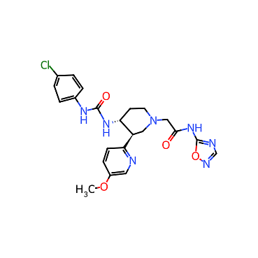 COc1ccc([C@@H]2CN(CC(=O)Nc3ncno3)CC[C@H]2NC(=O)Nc2ccc(Cl)cc2)nc1